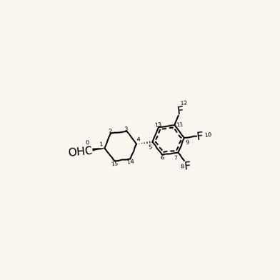 O=C[C@H]1CC[C@H](c2cc(F)c(F)c(F)c2)CC1